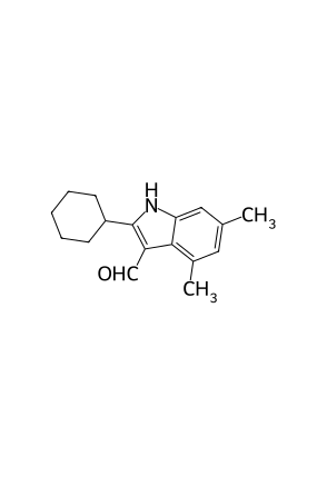 Cc1cc(C)c2c(C=O)c(C3CCCCC3)[nH]c2c1